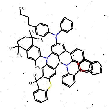 CCCCc1ccc(N(c2ccccc2)c2cc3c4c(c2)N(c2cc5c(cc2C)C(C)(C)CCC5(C)C)c2cc5c(cc2B4N(c2ccccc2-c2ccccc2)c2c-3ccc3c2oc2ccccc23)Sc2ccccc2C5(C)C)cc1